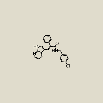 O=C(NCc1ccc(Cl)cc1)/C(=C/c1c[nH]c2ncccc12)c1ccccc1